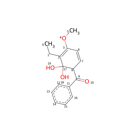 CCC1=C(OC)C=CC(C(=O)c2ccccc2)C1(O)O